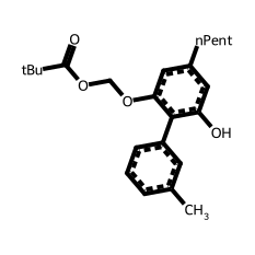 CCCCCc1cc(O)c(-c2cccc(C)c2)c(OCOC(=O)C(C)(C)C)c1